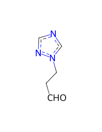 O=CCCn1cncn1